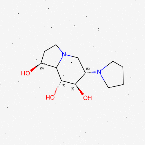 O[C@H]1[C@H](O)C2[C@@H](O)CCN2C[C@@H]1N1CCCC1